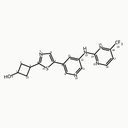 OC1CC(c2ncc(-c3cncc(Nc4nccc(C(F)(F)F)n4)c3)s2)C1